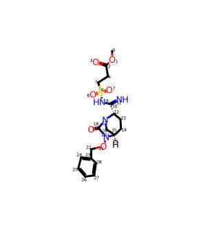 COC(=O)CCS(=O)(=O)NC(=N)[C@@H]1CC[C@@H]2CN1C(=O)N2OCc1ccccc1